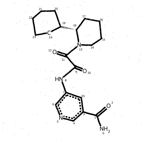 NC(=O)c1cncc(NC(=O)C(=O)N2CCCC[C@H]2C2CCCCC2)c1